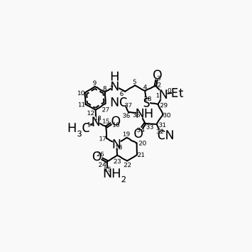 CCN1C(=O)C(CCNc2cccc(N(C)C(=O)CN3CCCCC3C(N)=O)c2)SC1CC(C#N)C(=O)NCC#N